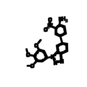 COc1cc(-n2nnc3ccc(-c4ccc(N)c([N+](=O)[O-])c4)cc32)cc(OC)c1OC